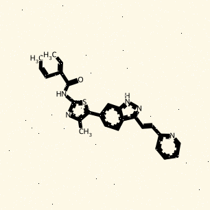 C/C=C\C(=C/C)C(=O)Nc1nc(C)c(-c2ccc3c(/C=C/c4ccccn4)n[nH]c3c2)s1